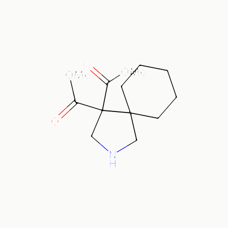 COC(=O)C1(C(=O)OC)CNCC12CCCCC2